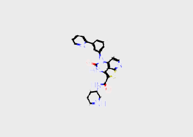 O=C(N[C@@H]1CCCNC1)c1sc2nccc3c2c1NC(=O)N3c1cccc(-c2ccccn2)c1